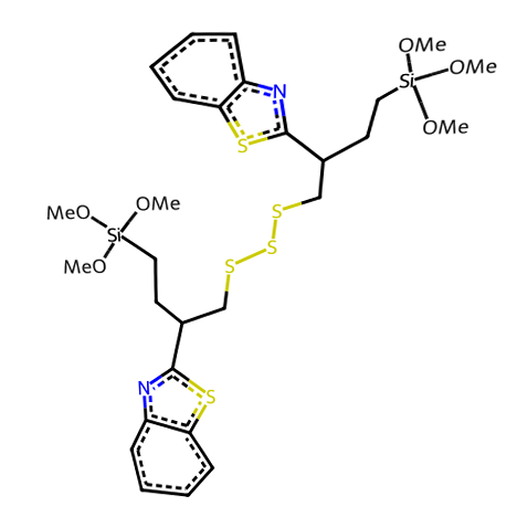 CO[Si](CCC(CSSSCC(CC[Si](OC)(OC)OC)c1nc2ccccc2s1)c1nc2ccccc2s1)(OC)OC